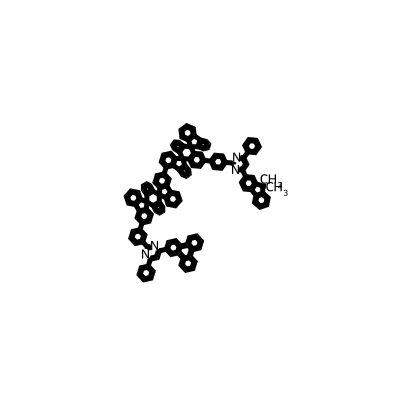 CC1(C)c2ccccc2-c2ccc(-c3cc(-c4ccccc4)nc(-c4ccc(-c5ccc6c(c5)C5(c7ccccc7-c7ccccc75)c5ccccc5C65c6ccccc6-c6c(-c7ccc8c(c7)-c7ccccc7C87c8ccccc8C8(c9ccccc9-c9cc(-c%10cccc(-c%11nc(-c%12ccccc%12)cc(-c%12ccc%13c%14ccccc%14c%14ccccc%14c%13c%12)n%11)c%10)ccc98)c8ccccc87)cccc65)cc4)n3)cc21